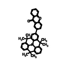 CC1(C)c2cccc3c2N2c4c1cccc4C(C)(C)c1cc(-c4ccc5oc6ccccc6c(=O)c5c4)cc(c12)C3(C)C